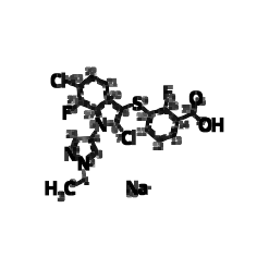 CCn1cc(-n2c(Cl)c(Sc3cccc(C(=O)O)c3F)c3ccc(Cl)c(F)c32)cn1.[Na]